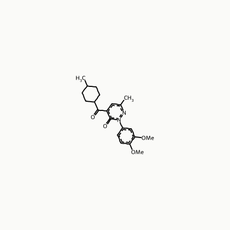 COc1ccc(-n2nc(C)cc(C(=O)C3CCC(C)CC3)c2=O)cc1OC